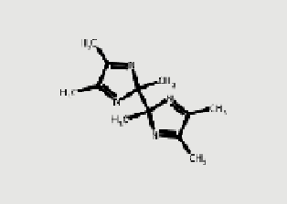 CC1=NC(C)(C2(C)N=C(C)C(C)=N2)N=C1C